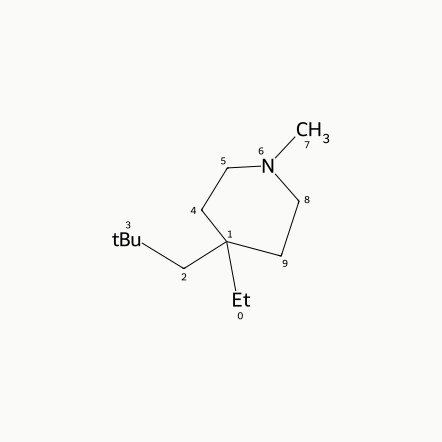 CCC1(CC(C)(C)C)CCN(C)CC1